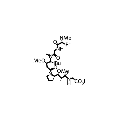 CC[C@H](C)[C@@H]([C@@H](CC(=O)N1CCC[C@H]1[C@H](OC)[C@@H](C)C(=O)NCC(=O)O)OC)N(C)C(=O)CNC(=O)[C@@H](NC)C(C)C